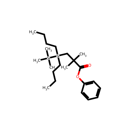 CCCC[Si](CCCC)(CC(C)(C)C(=O)Oc1ccccc1)[Si](C)(C)C